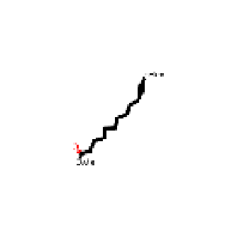 CCCCCCC#CCCCCCCCCCC(=O)OC